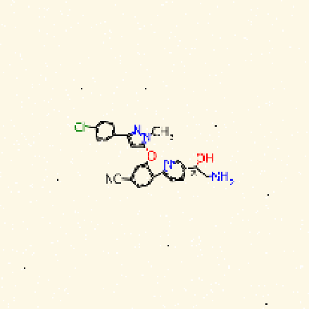 Cn1nc(-c2ccc(Cl)cc2)cc1Oc1cc(C#N)ccc1-c1ccc([C@@H](O)CN)cn1